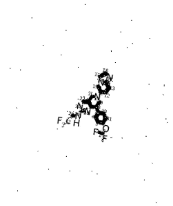 FC(F)Oc1ccc(C2=CN(c3ccc4nccn4c3)Cc3cnc(NCC(F)(F)F)nc32)cc1